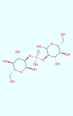 O=P(O)(O[C@@H]1[C@@H](O)[C@H](O)[C@@H](CO)O[C@@H]1O)O[C@H]1C(O)O[C@H](CO)[C@@H](O)[C@@H]1O